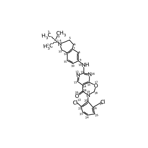 CS(C)(C)N1CCc2cc(Nc3ncc4c(n3)OCN(c3c(Cl)cccc3Cl)C4=O)ccc2C1